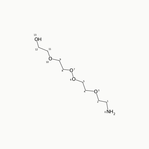 NCCOCCOOCCOCCO